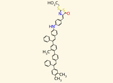 Cc1ccc(/C(=C/c2ccc(-c3ccc(/C(=C/c4ccc(Nc5ccc(/C=C6\N=C(SCC(=O)O)SC6=O)cc5)cc4)c4ccccc4)cc3C)cc2)c2ccccc2)cc1C